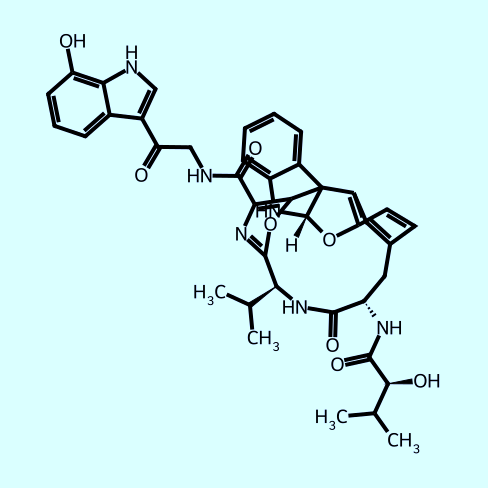 CC(C)[C@H](O)C(=O)N[C@H]1Cc2ccc3c(c2)C2(c4ccccc4N[C@H]2O3)c2oc(nc2C(=O)NCC(=O)c2c[nH]c3c(O)cccc23)[C@H](C(C)C)NC1=O